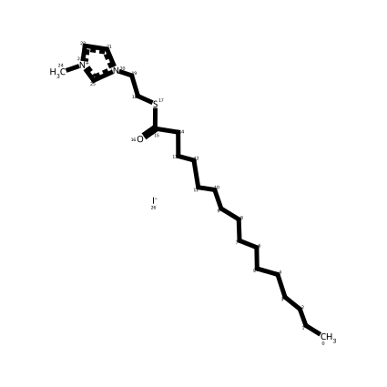 CCCCCCCCCCCCCCCC(=O)SCCn1cc[n+](C)c1.[I-]